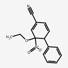 CCOC1([N+](=O)[O-])C=C(C#N)C=CC1c1ccccc1